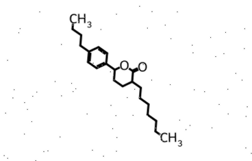 CCCCCCCC1CCC(c2ccc(CCCC)cc2)OC1=O